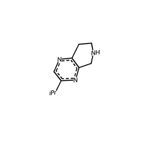 CC(C)c1cnc2c(n1)CNCC2